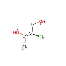 N#C[C@H](O)[C@H](Cl)CO